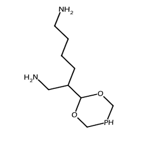 NCCCCC(CN)C1OCPCO1